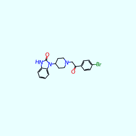 O=C(CN1CCC(n2c(=O)[nH]c3ccccc32)CC1)c1ccc(Br)cc1